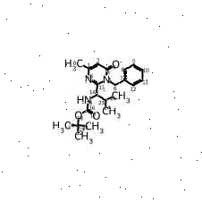 Cc1cc(=O)n(Cc2ccccc2)c(C(NC(=O)OC(C)(C)C)C(C)C)n1